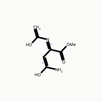 C=C(O)/N=C(\C=C(/N)O)C(=O)OC